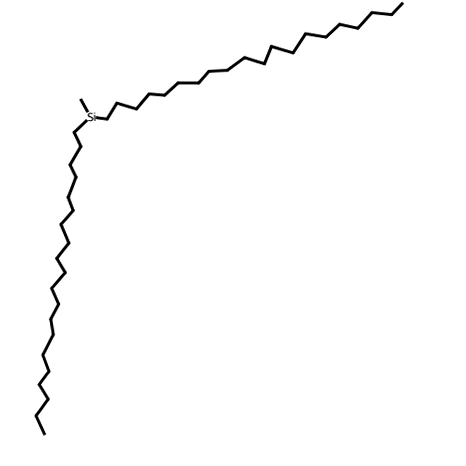 CCCCCCCCCCCCCCCCCCCC[Si](C)CCCCCCCCCCCCCCCCCCCC